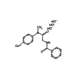 CN(C(=O)CNC(=O)c1ccccc1)c1cc[c]([Ge+3])cc1.[OH-].[OH-].[OH-]